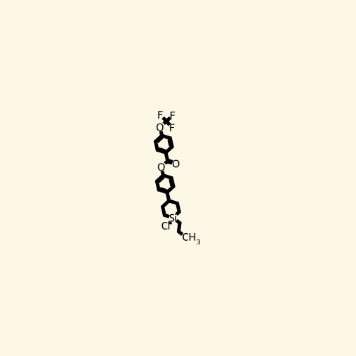 CCC[Si]1(Cl)CCC(c2ccc(OC(=O)c3ccc(OC(F)(F)F)cc3)cc2)CC1